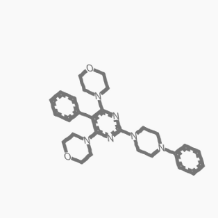 c1ccc(-c2c(N3CCOCC3)nc(N3CCN(c4ccccc4)CC3)nc2N2CCOCC2)cc1